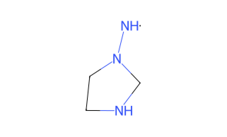 [NH]N1CCNC1